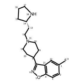 Fc1ccc2onc(C3CCN(CC[C@@H]4CCCN4)CC3)c2c1